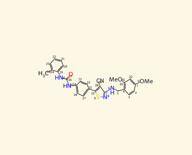 COc1ccc(CNc2nsc(-c3ccc(NC(=O)Nc4ccccc4C)cc3)c2C#N)c(OC)c1